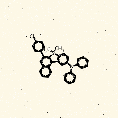 C[Si]1(C)c2ccc(N(c3ccccc3)c3ccccc3)cc2-c2c1c(-c1ccc(Cl)cc1)cc1ccccc21